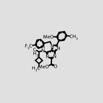 COC(=O)c1nc(NC(C)C2CC(C)C2)c2c(n1)nc(-c1cc(C)ccc1OC)n2Cc1ccc(C(F)(F)F)cc1